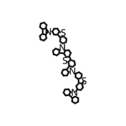 c1ccc2c(c1)c1ccccc1n2-c1ccc2sc3ccc(-n4c5ccccc5c5c6sc7c(ccc8c7c7ccccc7n8-c7ccc8sc9ccc(-n%10c%11ccccc%11c%11ccccc%11%10)cc9c8c7)c6ccc54)cc3c2c1